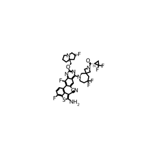 N#Cc1c(N)sc2c(F)ccc(-c3c(Cl)cc4c(N5CCC(F)(F)CC6(CN(C(=O)[C@@H]7CC7(F)F)C6)C5)nc(OC[C@@]56CCCN5C[C@H](F)C6)nc4c3F)c12